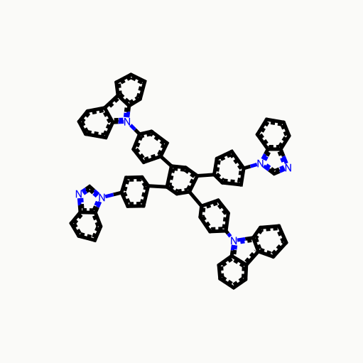 c1ccc2c(c1)ncn2-c1ccc(-c2cc(-c3ccc(-n4c5ccccc5c5ccccc54)cc3)c(-c3ccc(-n4cnc5ccccc54)cc3)cc2-c2ccc(-n3c4ccccc4c4ccccc43)cc2)cc1